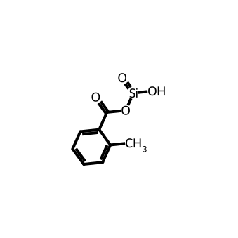 Cc1ccccc1C(=O)O[Si](=O)O